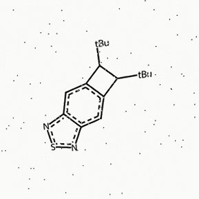 CC(C)(C)C1c2cc3nsnc3cc2C1C(C)(C)C